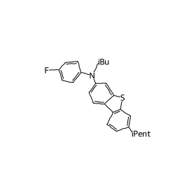 CCCC(C)c1ccc2c(c1)sc1cc(N(c3ccc(F)cc3)C(C)CC)ccc12